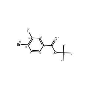 CC(C)(C)OC(=O)c1ccc(Br)c(F)c1